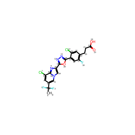 CC(F)(F)c1cc(Cl)c2nc(-c3nnc(-c4cc(F)c(CCC(=O)O)cc4Cl)o3)cn2c1